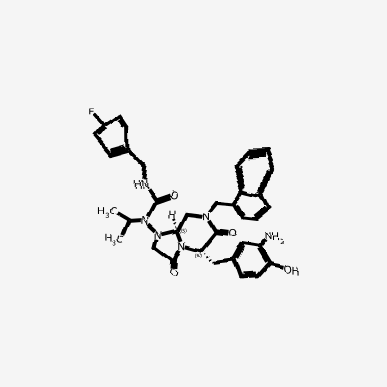 CC(C)N(C(=O)NCc1ccc(F)cc1)N1CC(=O)N2[C@@H](Cc3ccc(O)c(N)c3)C(=O)N(Cc3cccc4ccccc34)C[C@@H]21